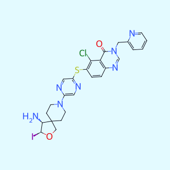 N[C@@H]1[C@H](I)OCC12CCN(c1cnc(Sc3ccc4ncn(Cc5ccccn5)c(=O)c4c3Cl)cn1)CC2